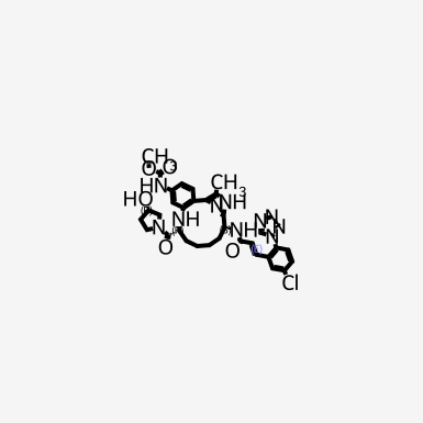 COC(=O)Nc1ccc2c(c1)N[C@@H](C(=O)N1CC[C@@H](O)C1)CCCC[C@H](NC(=O)/C=C/c1cc(Cl)ccc1-n1cnnn1)c1nc-2c(C)[nH]1